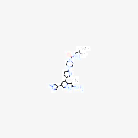 COC(CNC(=O)N1CCN(c2ccc(-c3cc(-c4cnn(C)c4)cn4nc(N)c(C#N)c34)cn2)CC1)C(C)C